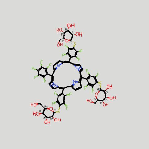 OC[C@H]1O[C@@H](Sc2c(F)c(F)c(-c3c4nc(c(-c5c(F)c(F)c(S[C@@H]6O[C@H](CO)[C@H](O)[C@H](O)[C@@H]6O)c(F)c5F)c5ccc([nH]5)c(-c5c(F)c(F)c(S[C@@H]6O[C@H](CO)[C@H](O)[C@H](O)[C@@H]6O)c(F)c5F)c5nc(c(-c6c(F)c(F)c(F)c(F)c6F)c6ccc3[nH]6)C=C5)C=C4)c(F)c2F)[C@@H](O)[C@@H](O)[C@H]1O